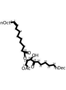 CCCCCCCC/C=C\CCCCCCCC(=O)OC(COC(C)=O)C(O)C(=O)CCCCCCCCCCCCCCC